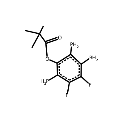 Bc1c(F)c(F)c(P)c(OC(=O)C(C)(C)C)c1P